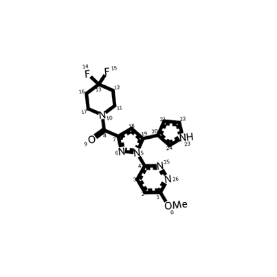 COc1ccc(-n2nc(C(=O)N3CCC(F)(F)CC3)cc2-c2cc[nH]c2)nn1